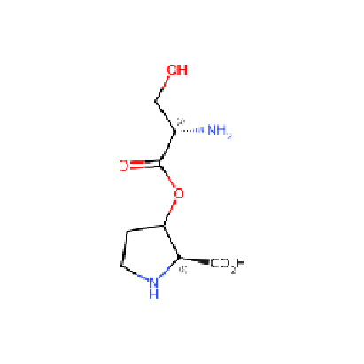 N[C@@H](CO)C(=O)OC1CCN[C@@H]1C(=O)O